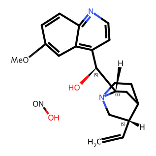 C=C[C@@H]1CN2CCC1C[C@H]2[C@@H](O)c1ccnc2ccc(OC)cc12.O=NO